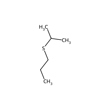 CCCS[C](C)C